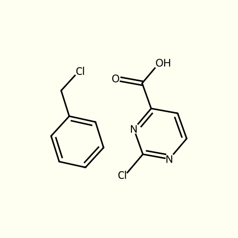 ClCc1ccccc1.O=C(O)c1ccnc(Cl)n1